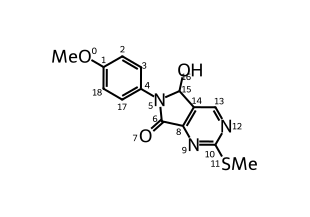 COc1ccc(N2C(=O)c3nc(SC)ncc3C2O)cc1